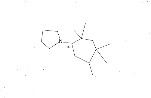 CC1C[C@H](N2CCCC2)C(C)(C)CC1(C)C